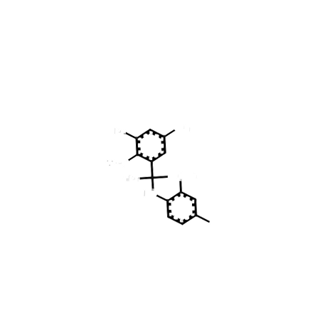 CCCCC(C)(Pc1ccc(C)cc1C=O)c1cc(C(C)(C)C)cc(C(C)(C)C)c1OC